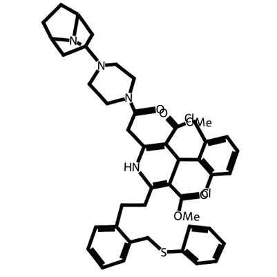 COC(=O)C1=C(CCc2ccccc2CSc2ccccc2)NC(CC(=O)N2CCN(C3CC4CCC(C3)N4C)CC2)=C(C(=O)OC)C1c1c(Cl)cccc1Cl